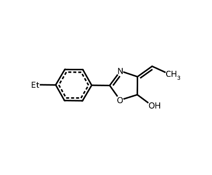 C/C=C1/N=C(c2ccc(CC)cc2)OC1O